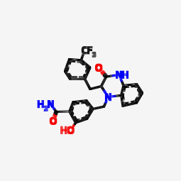 NC(=O)c1ccc(CN2c3ccccc3NC(=O)C2Cc2cccc(C(F)(F)F)c2)cc1O